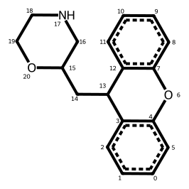 c1ccc2c(c1)Oc1ccccc1C2CC1CNCCO1